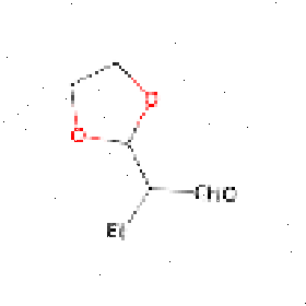 CCC(C=O)C1OCCO1